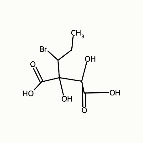 CCC(Br)C(O)(C(=O)O)C(O)C(=O)O